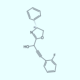 OC(C#Cc1ccccc1F)C1=N[C@H](c2ccccc2)CO1